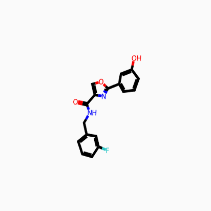 O=C(NCc1cccc(F)c1)c1coc(-c2cccc(O)c2)n1